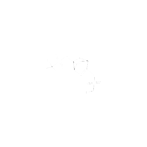 O=S(=O)(CF)OC1=CC2CCC1C=C2OS(=O)(=O)C(F)(F)F